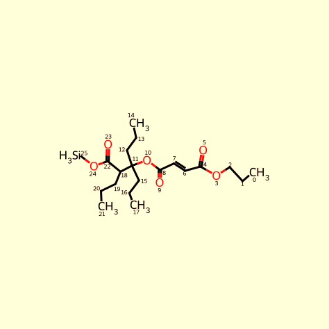 CCCOC(=O)/C=C/C(=O)OC(CCC)(CCC)C(CCC)C(=O)O[SiH3]